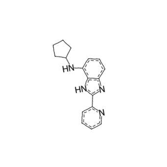 c1ccc(-c2nc3cccc(NC4CCCC4)c3[nH]2)nc1